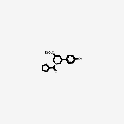 CCOC(=O)C1CC(c2ccc(CC)cc2)CN(C(=O)C2CCCC2)C1